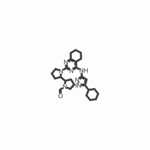 O=CN1CCCC1C1CCCN1c1nc2c(c(Nc3cc(C4CCCCC4)[nH]n3)n1)CCCC2